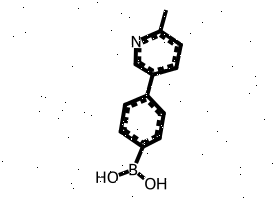 Cc1ccc(-c2ccc(B(O)O)cc2)cn1